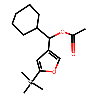 CC(=O)OC(c1coc([Si](C)(C)C)c1)C1CCCCC1